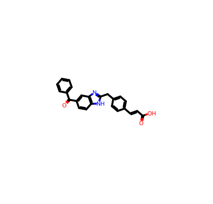 O=C(O)/C=C/c1ccc(Cc2nc3cc(C(=O)c4ccccc4)ccc3[nH]2)cc1